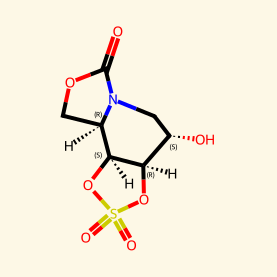 O=C1OC[C@@H]2[C@@H]3OS(=O)(=O)O[C@@H]3[C@@H](O)CN12